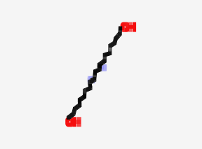 OCCCCCCCC/C=C/C/C=C/CCCCCCCCO